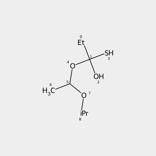 CCC(O)(S)OC(C)OC(C)C